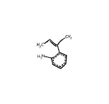 C/C=C(/C)c1ccccc1N